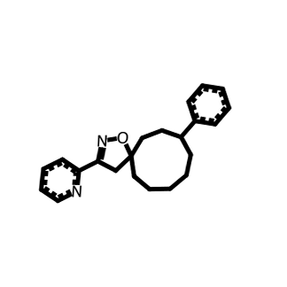 c1ccc(C2CCCCCC3(CC2)CC(c2ccccn2)=NO3)cc1